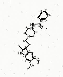 COc1cc2[nH]c(C)c(CCN3CCN(NC(=O)c4ccccc4)CC3)c2cc1OC